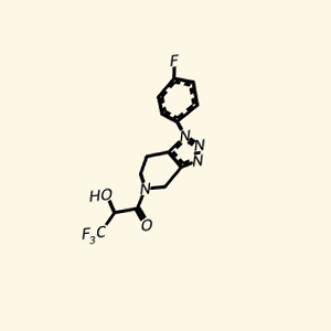 O=C(C(O)C(F)(F)F)N1CCc2c(nnn2-c2ccc(F)cc2)C1